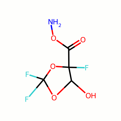 NOC(=O)C1(F)OC(F)(F)OC1O